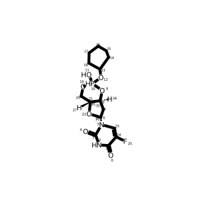 O=c1[nH]c(=O)n([C@H]2C[C@@H]3O[PH](O)(OC4CCCCC4)OC[C@H]3O2)cc1F